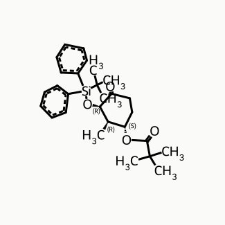 C[C@@H]1[C@@H](OC(=O)C(C)(C)C)CCC(=O)[C@@H]1O[Si](c1ccccc1)(c1ccccc1)C(C)(C)C